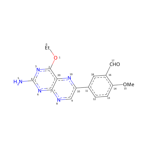 CCOc1nc(N)nc2ncc(-c3ccc(OC)c(C=O)c3)nc12